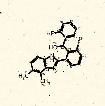 Cc1ccc2[nH]c(-c3cccc(F)c3C(O)c3ccccc3F)nc2c1C